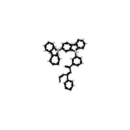 C=C(/C=C(\C=C/C)c1ccccc1)c1cccc(-n2c3ccccc3c3ccc(-n4c5ccccc5c5ccccc54)cc32)c1